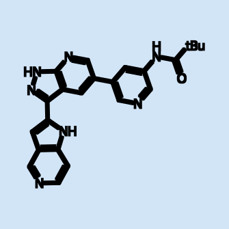 CC(C)(C)C(=O)Nc1cncc(-c2cnc3[nH]nc(-c4cc5cnccc5[nH]4)c3c2)c1